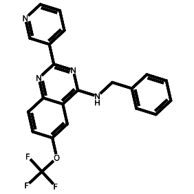 FC(F)(F)Oc1ccc2nc(-c3cccnc3)nc(NCc3ccccc3)c2c1